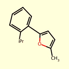 Cc1ccc(-c2ccccc2C(C)C)o1